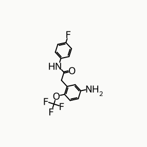 Nc1ccc(OC(F)(F)F)c(CC(=O)Nc2ccc(F)cc2)c1